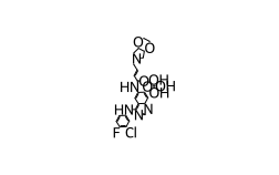 O=C(/C=C/CN1CC2OCCOC2C1)Nc1cc2c(Nc3ccc(F)c(Cl)c3)ncnc2cc1OC(O)(O)O